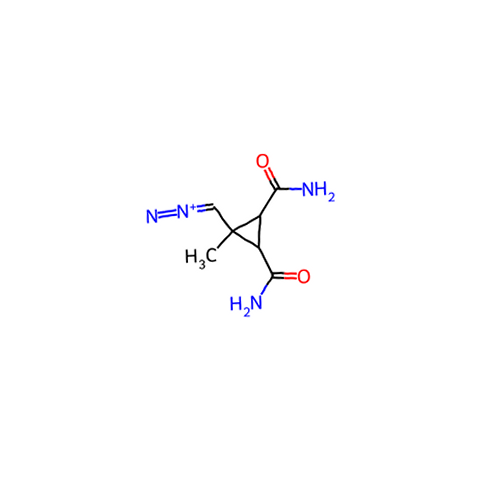 CC1(C=[N+]=[N-])C(C(N)=O)C1C(N)=O